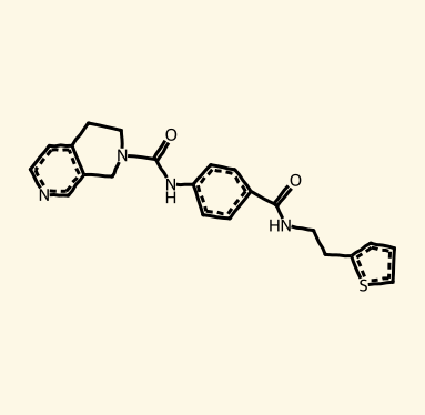 O=C(NCCc1cccs1)c1ccc(NC(=O)N2CCc3ccncc3C2)cc1